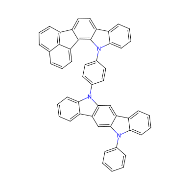 c1ccc(-n2c3ccccc3c3cc4c(cc32)c2ccccc2n4-c2ccc(-n3c4ccccc4c4ccc5c(c43)-c3cccc4cccc-5c34)cc2)cc1